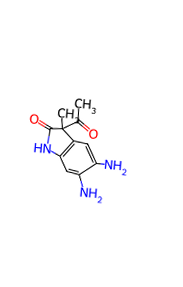 CC(=O)C1(C)C(=O)Nc2cc(N)c(N)cc21